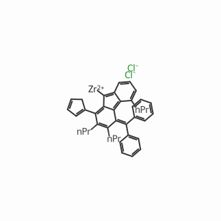 CCCc1c(C2=CC=CC2)c2c(c(=C(c3ccccc3)c3ccccc3)c1CCC)=c1c(CCC)cccc1=[C]2[Zr+2].[Cl-].[Cl-]